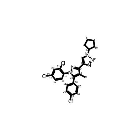 Cc1c(-c2cn(C3CCCC3)nn2)nn(-c2ccc(Cl)cc2Cl)c1-c1ccc(Cl)cc1